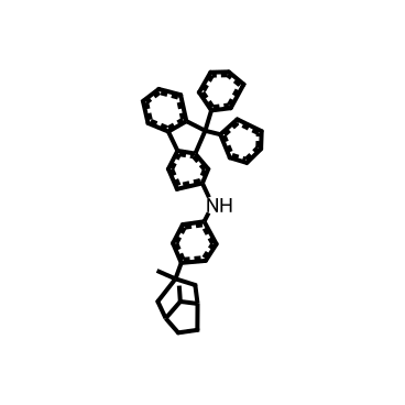 CC1C2CCC1CC(C)(c1ccc(Nc3ccc4c(c3)C(c3ccccc3)(c3ccccc3)c3ccccc3-4)cc1)C2